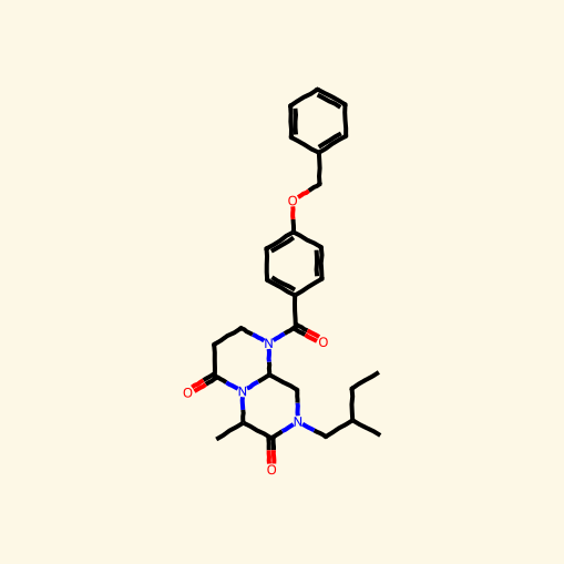 CCC(C)CN1CC2N(C(=O)c3ccc(OCc4ccccc4)cc3)CCC(=O)N2C(C)C1=O